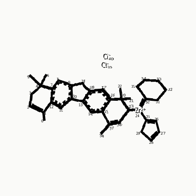 CC1=CCC(C)(C)c2cc3c(cc21)-c1cc2c(cc1C3)C(C)(C)[CH]([Zr+2]([C]1=CC=CC1)=[C]1CCCCC1)C=C2C.[Cl-].[Cl-]